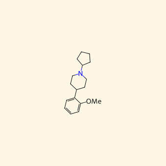 COc1ccccc1C1CCN(C2CCCC2)CC1